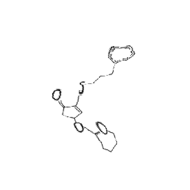 O=C1CC(OC2CCCCO2)C=C1SCCCc1ccccc1